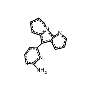 Nc1nccc(-c2c3cccnc3n3ccccc23)n1